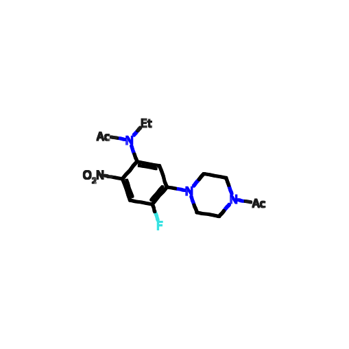 CCN(C(C)=O)c1cc(N2CCN(C(C)=O)CC2)c(F)cc1[N+](=O)[O-]